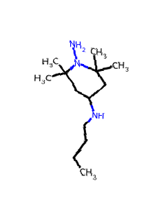 CCCCNC1CC(C)(C)N(N)C(C)(C)C1